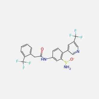 N[S+]([O-])c1cc(NC(=O)Cc2ccccc2C(F)(F)F)ccc1-c1cncc(C(F)(F)F)c1